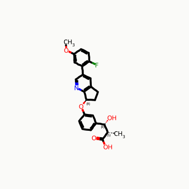 COc1ccc(F)c(-c2cnc3c(c2)CC[C@H]3Oc2cccc([C@H](O)[C@H](C)C(=O)O)c2)c1